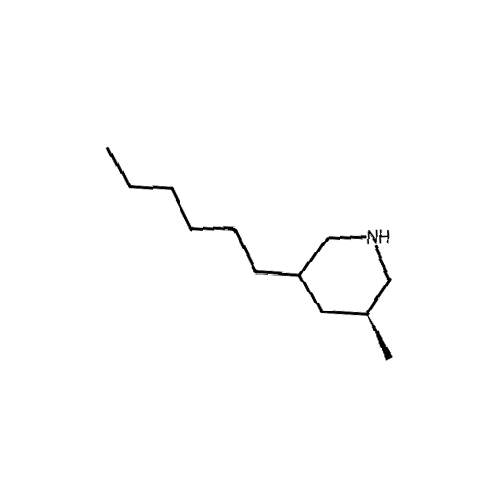 CCCCCCC1CNC[C@@H](C)C1